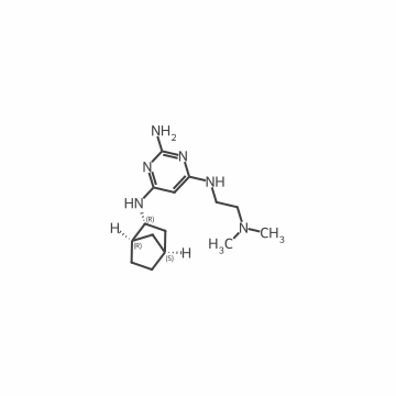 CN(C)CCNc1cc(N[C@@H]2C[C@H]3CC[C@@H]2C3)nc(N)n1